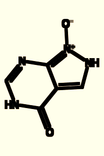 O=c1[nH]cnc2c1c[nH][n+]2[O-]